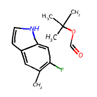 CC(C)(C)OC=O.Cc1cc2cc[nH]c2cc1F